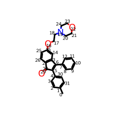 Cc1ccc(C2=C(c3ccccc3)c3cc(OCCN4CCOCC4)ccc3C2=O)cc1